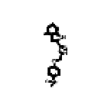 Cc1cccc2[nH]c(-c3nnc(CNc4ccc(S(C)(=O)=O)cc4)s3)cc12